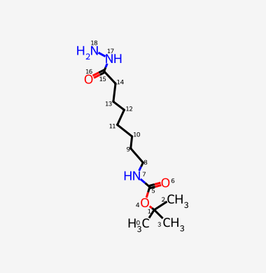 CC(C)(C)OC(=O)NCCCCCCCC(=O)NN